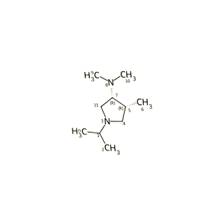 CC(C)N1C[C@@H](C)[C@@H](N(C)C)C1